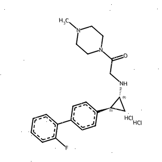 CN1CCN(C(=O)CN[C@@H]2C[C@H]2c2ccc(-c3ccccc3F)cc2)CC1.Cl.Cl